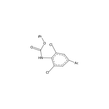 CC(=O)c1cc(Cl)c(NC(=O)OC(C)C)c(Cl)c1